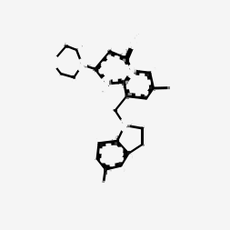 Cc1cc(CN2CCc3cc(F)ccc32)c2nc(N3CCOCC3)cc(=O)n2c1